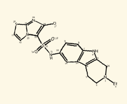 CCN1CCc2c([nH]c3ccc(NS(=O)(=O)c4c(Cl)nc5sccn45)cc23)C1